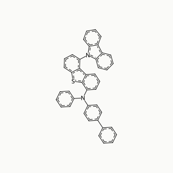 c1ccc(-c2ccc(N(c3ccccc3)c3cccc4c3sc3cccc(-n5c6ccccc6c6ccccc65)c34)cc2)cc1